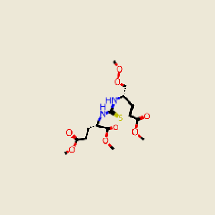 COOC[C@H](CCC(=O)OC)NC(=S)N[C@@H](CCC(=O)OC)C(=O)OC